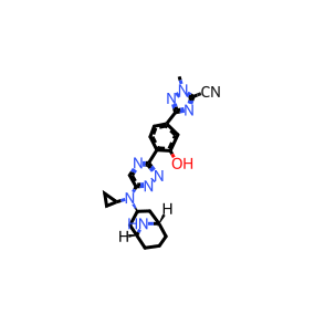 Cn1nc(-c2ccc(-c3ncc(N(C4CC4)[C@@H]4C[C@H]5CCC[C@@H](C4)N5)nn3)c(O)c2)nc1C#N